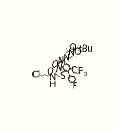 C[C@@H]1CN(c2nc(=O)n3c4c(c(-c5ccc(F)cc5)c(C(F)(F)F)cc24)SC[C@@H](NC(=O)CCCCl)C3)C[C@H](C)N1C(=O)OC(C)(C)C